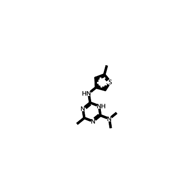 Cc1cc(NC2=NC(C)N=C(N(C)C)N2)cs1